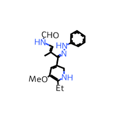 CCC1=C(OC)C=C(C(=N/Nc2ccccc2)/C(C)=C/NC=O)CN1